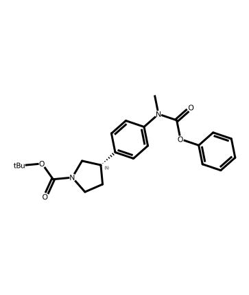 CN(C(=O)Oc1ccccc1)c1ccc([C@@H]2CCN(C(=O)OC(C)(C)C)C2)cc1